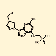 Nc1nc(NCP(=O)(O)O)c2ncn([C@H]3C=C[C@@H](CO)C3)c2n1